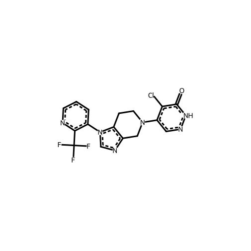 O=c1[nH]ncc(N2CCc3c(ncn3-c3cccnc3C(F)(F)F)C2)c1Cl